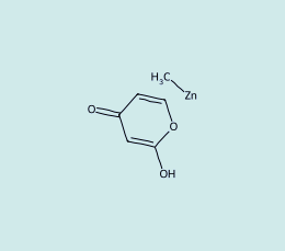 O=c1ccoc(O)c1.[CH3][Zn]